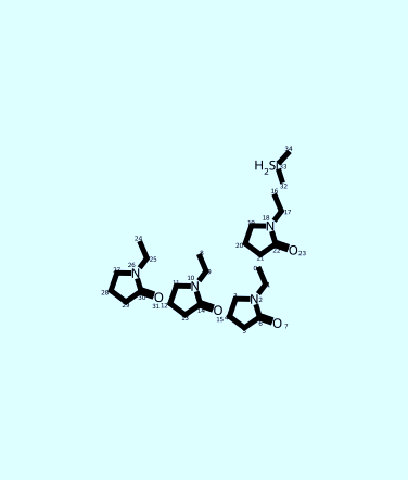 CCN1CCCC1=O.CCN1CCCC1=O.CCN1CCCC1=O.CCN1CCCC1=O.C[SiH2]C